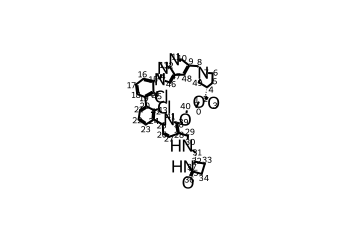 COC(=O)[C@H]1CCN(Cc2cnc3nn(-c4cccc(-c5cccc(-c6ccc(CNC[C@@H]7CCC(=O)N7)c(OC)n6)c5Cl)c4Cl)cc3c2)C1